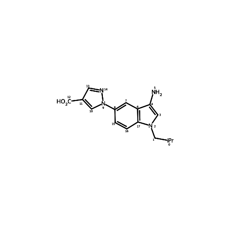 CC(C)Cn1cc(N)c2cc(-n3cc(C(=O)O)cn3)ccc21